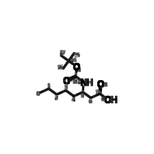 CCCCCC(CC(=O)O)NC(=O)OC(C)(C)C